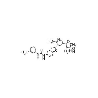 Cc1cccc(NC(=O)Nc2ccc3sc(-c4cc(C(=O)N=[SH](C)(C)O)cnc4N)cc3c2)c1